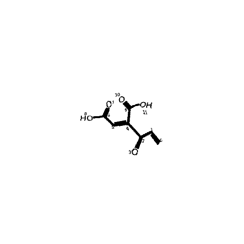 C=CC(=O)/C(=C/C(=O)O)C(=O)O